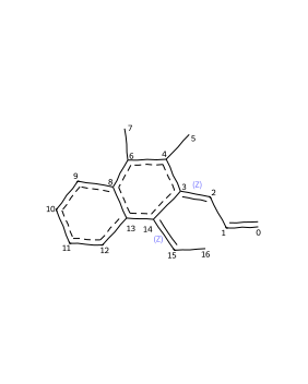 C=C/C=c1/c(C)c(C)c2ccccc2/c1=C/C